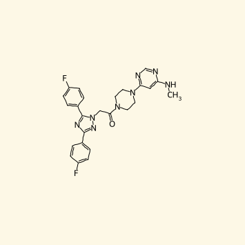 CNc1cc(N2CCN(C(=O)Cn3nc(-c4ccc(F)cc4)nc3-c3ccc(F)cc3)CC2)ncn1